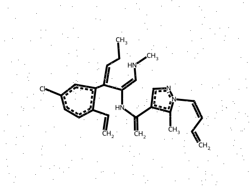 C=C/C=C\n1ncc(C(=C)NC(=C/NC)/C(=C\CC)c2cc(Cl)ccc2C=C)c1C